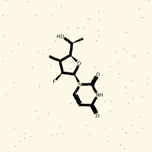 CC1[C@H](F)[C@H](n2ccc(=O)[nH]c2=O)O[C@@H]1[C@H](C)O